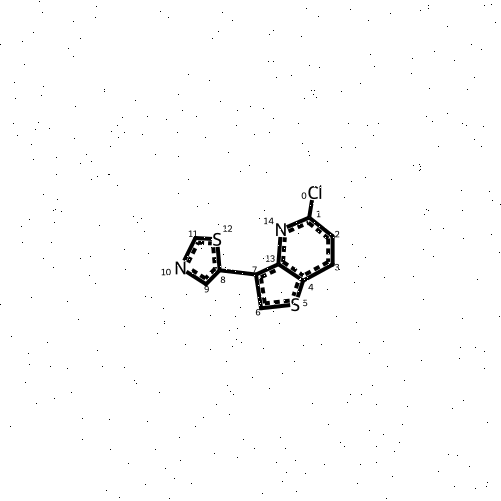 Clc1ccc2scc(-c3cncs3)c2n1